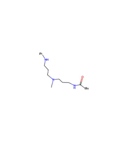 CC(C)NCCCN(C)CCCNC(=O)C(C)(C)C